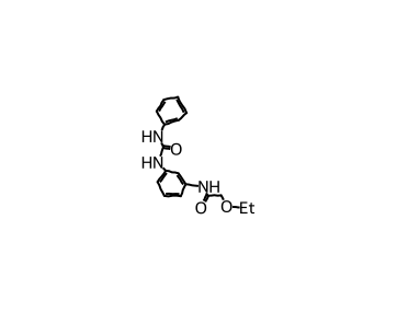 CCOCC(=O)Nc1cccc(NC(=O)Nc2ccccc2)c1